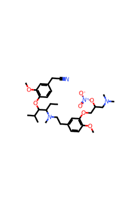 CCC(C(Oc1ccc(CC#N)cc1OC)C(C)C)N(C)CCc1ccc(OC)c(OCC(CN(C)C)O[N+](=O)[O-])c1